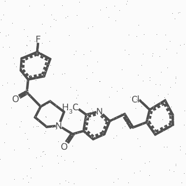 Cc1nc(C=Cc2ccccc2Cl)ccc1C(=O)N1CCC(C(=O)c2ccc(F)cc2)CC1